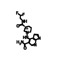 NC(=O)c1cnc2c(c1NN1CCC[C@H](C(=O)NCC(F)F)C1)C=C=N2